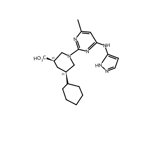 Cc1cc(Nc2ccn[nH]2)nc(N2C[C@H](C(=O)O)C[C@H](C3CCCCC3)C2)n1